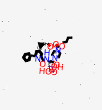 CCCCOC(=O)N1CCN(C(=O)[C@H](CP(=O)(O)O)NC(=O)c2cc([C@H]3C[C@@H]3COC)cc(-c3ccccc3)n2)CC1